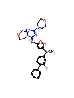 CC(c1ccc(-c2ccccc2)c(F)c1)c1cc(/N=C(\N=C(/N)N2CCOCC2)N2CCOCC2)on1